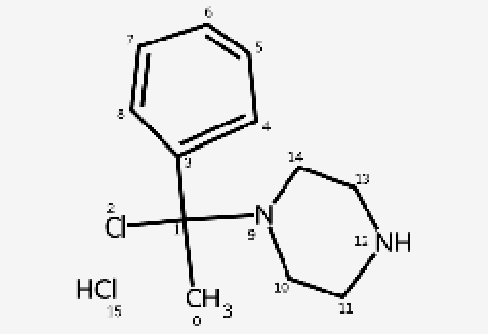 CC(Cl)(c1ccccc1)N1CCNCC1.Cl